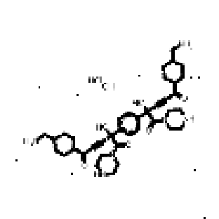 Cl.Cl.NCC1CCC(C(=O)C#CC(O)(C(=O)N2CCNCC2)c2ccc(C(O)(C#CC(=O)C3CCC(CN)CC3)C(=O)N3CCNCC3)cc2)CC1